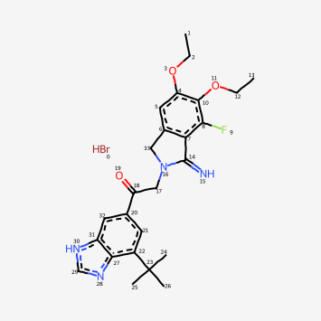 Br.CCOc1cc2c(c(F)c1OCC)C(=N)N(CC(=O)c1cc(C(C)(C)C)c3nc[nH]c3c1)C2